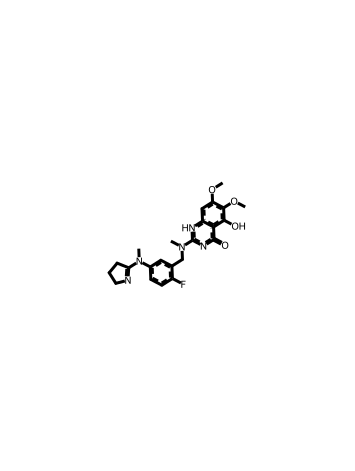 COc1cc2[nH]c(N(C)Cc3cc(N(C)C4=NCCC4)ccc3F)nc(=O)c2c(O)c1OC